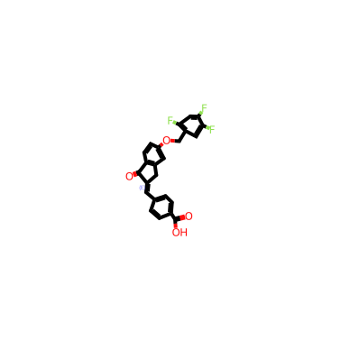 O=C(O)c1ccc(/C=C2\Cc3cc(OCc4cc(F)c(F)cc4F)ccc3C2=O)cc1